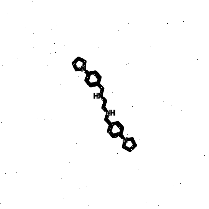 c1cc(N2CCCC2)ccc1CNCCNCc1ccc(N2CCCC2)cc1